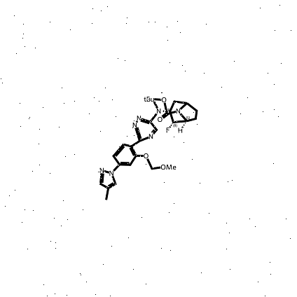 COCOc1cc(-n2cc(C)cn2)ccc1-c1ncc(N(C)[C@@H]2CC3CC[C@@H]([C@@H]2F)N3C(=O)OC(C)(C)C)nn1